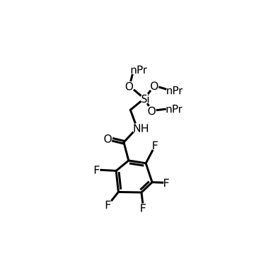 CCCO[Si](CNC(=O)c1c(F)c(F)c(F)c(F)c1F)(OCCC)OCCC